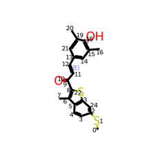 CSc1ccc2c(C)c(C(=O)/C=C/c3cc(C)c(O)c(C)c3)sc2c1